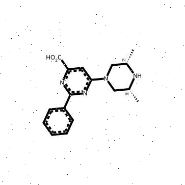 C[C@@H]1CN(c2cc(C(=O)O)nc(-c3ccccc3)n2)C[C@H](C)N1